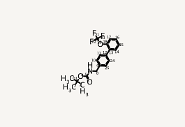 CC(C)(C)OC(=O)NCc1ccc(-c2ccccc2OC(F)(F)F)cc1